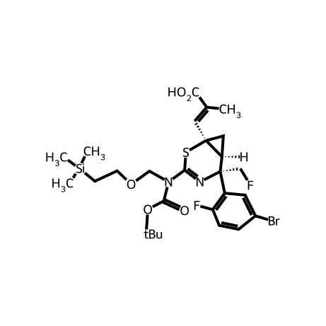 CC(=C[C@]12C[C@H]1[C@@](CF)(c1cc(Br)ccc1F)N=C(N(COCC[Si](C)(C)C)C(=O)OC(C)(C)C)S2)C(=O)O